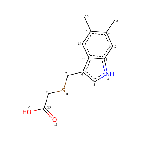 Cc1cc2[nH]cc(CSCC(=O)O)c2cc1C